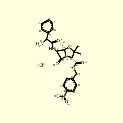 CC1(C)S[C@@H]2[C@H](NC(=O)C(N)c3ccccc3)C(=O)N2[C@H]1C(=O)OCc1ccc([N+](=O)[O-])cc1.Cl